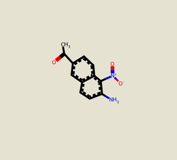 CC(=O)c1ccc2c([N+](=O)[O-])c(N)ccc2c1